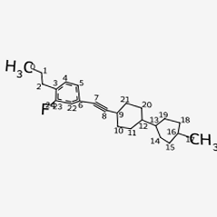 CCCc1ccc(C#CC2CCC(C3CCC(C)CC3)CC2)cc1F